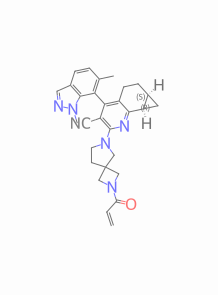 C=CC(=O)N1CC2(CCN(c3nc4c(c(-c5c(C)ccc6cnn(C)c56)c3C#N)CC[C@H]3C[C@@H]43)C2)C1